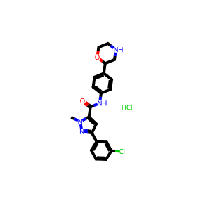 Cl.Cn1nc(-c2cccc(Cl)c2)cc1C(=O)Nc1ccc(C2CNCCO2)cc1